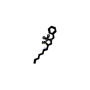 C=CCCC/C=C/C1CN(Cc2ccccc2)S(=O)(=O)N1